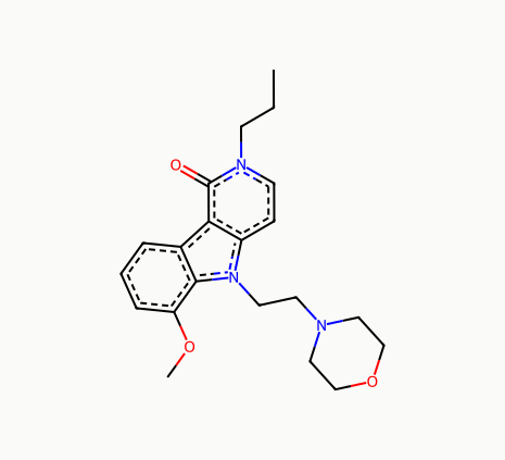 CCCn1ccc2c(c1=O)c1cccc(OC)c1n2CCN1CCOCC1